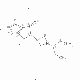 CCC(CC)N1CC(N2Cc3scnc3C2=O)C1